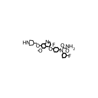 COc1cc2c(Oc3ccc(N(C(=O)C(N)=O)c4cccc(F)c4)cc3F)ccnc2cc1OCC1CCNCC1